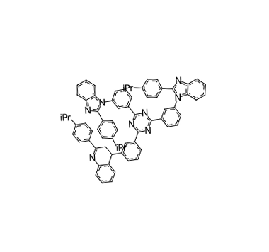 CC(C)c1ccc(C2=Nc3ccccc3C(c3cccc(-c4nc(-c5cccc(-n6c(-c7ccc(C(C)C)cc7)nc7ccccc76)c5)nc(-c5cccc(-n6c(-c7ccc(C(C)C)cc7)nc7ccccc76)c5)n4)c3)C2)cc1